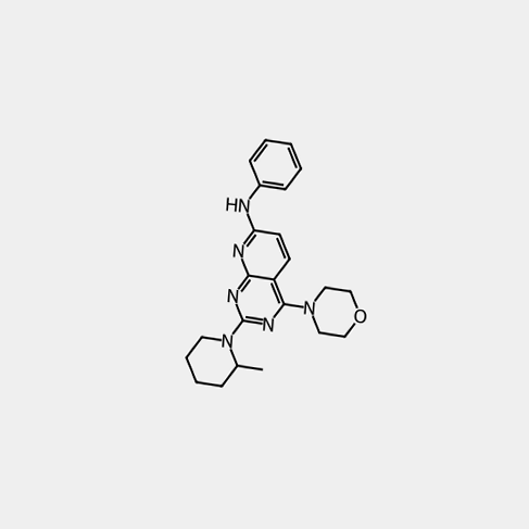 CC1CCCCN1c1nc(N2CCOCC2)c2ccc(Nc3ccccc3)nc2n1